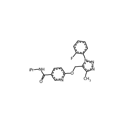 Cc1nnn(-c2ccccc2F)c1COc1ccc(C(=O)NC(C)C)cn1